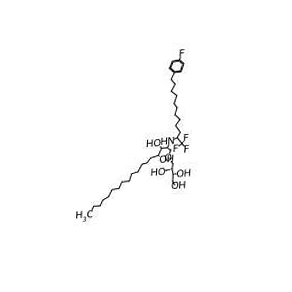 CCCCCCCCCCCCCC[C@@H](O)[C@@H](O)[C@H](COC[C@H](O)[C@@H](O)CO)NC(CCCCCCCCCCc1ccc(F)cc1)C(F)(F)F